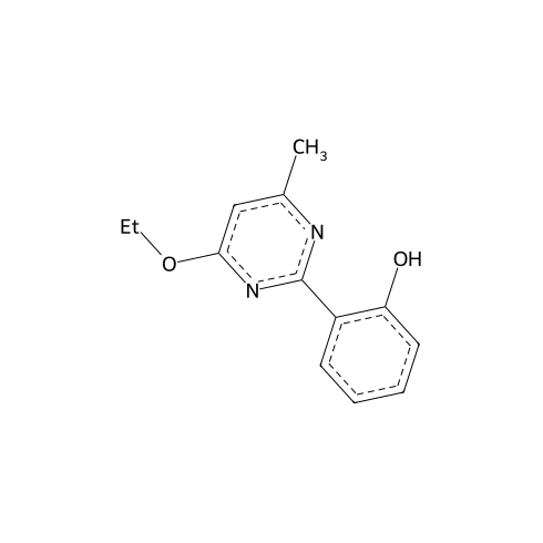 CCOc1cc(C)nc(-c2ccccc2O)n1